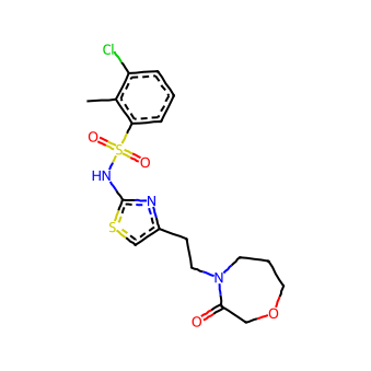 Cc1c(Cl)cccc1S(=O)(=O)Nc1nc(CCN2CCCOCC2=O)cs1